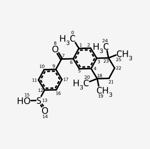 Cc1cc2c(cc1C(=O)c1ccc(S(=O)O)cc1)C(C)(C)CCC2(C)C